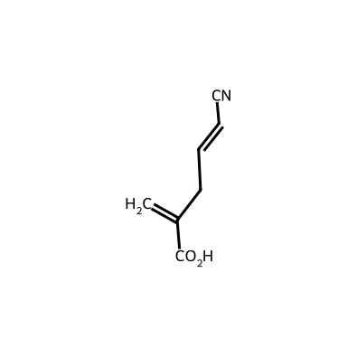 C=C(CC=CC#N)C(=O)O